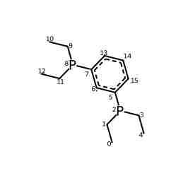 CCP(CC)c1[c]c(P(CC)CC)ccc1